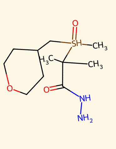 CC(C)(C(=O)NN)[SH](C)(=O)CC1CCOCC1